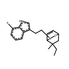 CCC1(C)CC2C=CC1N(CCc1c[nH]c3c(F)cccc13)C2